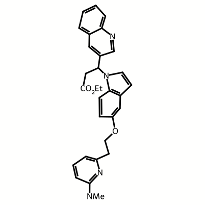 CCOC(=O)CC(c1cnc2ccccc2c1)n1ccc2cc(OCCc3cccc(NC)n3)ccc21